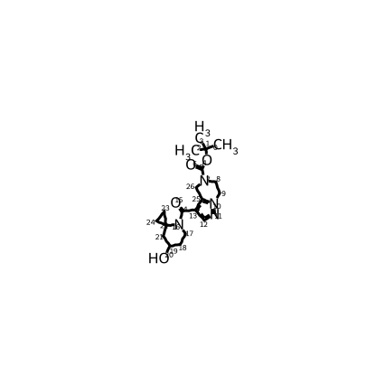 CC(C)(C)OC(=O)N1CCn2ncc(C(=O)N3CCC(O)CC34CC4)c2C1